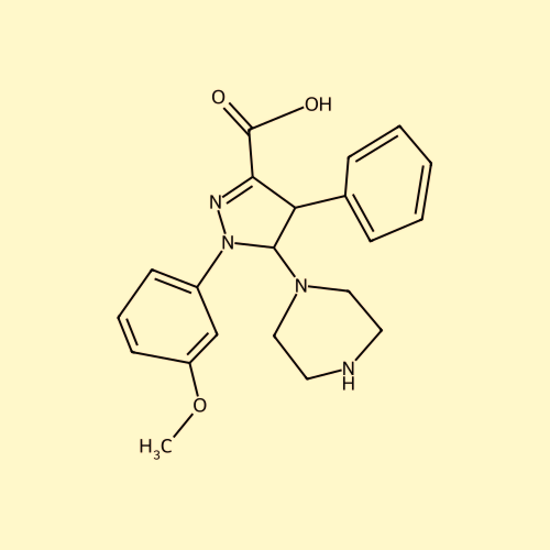 COc1cccc(N2N=C(C(=O)O)C(c3ccccc3)C2N2CCNCC2)c1